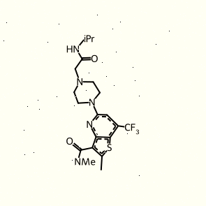 CNC(=O)c1c(C)sc2c(C(F)(F)F)cc(N3CCN(CC(=O)NC(C)C)CC3)nc12